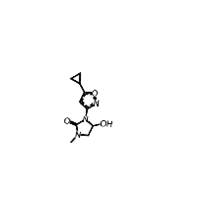 CN1CC(O)N(c2cc(C3CC3)on2)C1=O